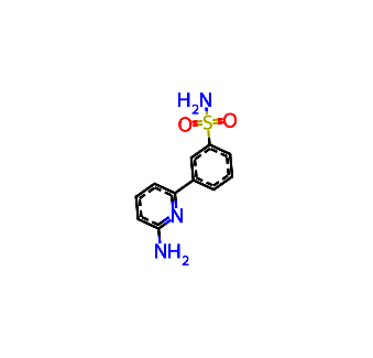 Nc1cccc(-c2cccc(S(N)(=O)=O)c2)n1